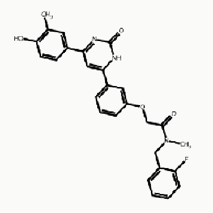 Cc1cc(-c2cc(-c3cccc(OCC(=O)N(C)Cc4ccccc4F)c3)[nH]c(=O)n2)ccc1O